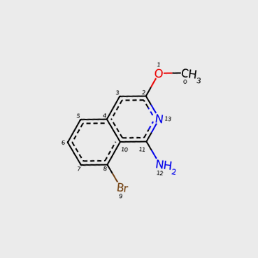 COc1cc2cccc(Br)c2c(N)n1